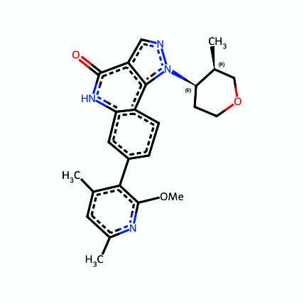 COc1nc(C)cc(C)c1-c1ccc2c(c1)[nH]c(=O)c1cnn([C@@H]3CCOC[C@@H]3C)c12